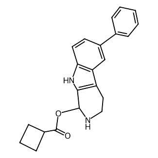 O=C(OC1NCCc2c1[nH]c1ccc(-c3ccccc3)cc21)C1CCC1